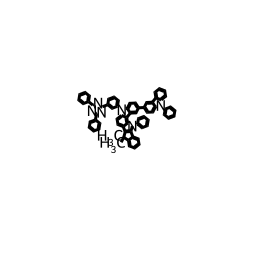 CC1(C)c2ccccc2-c2c1c1ccc3c(c4cc(-c5ccc6c(c5)c5ccccc5n6-c5ccccc5)ccc4n3-c3cccc(-c4nc(-c5ccccc5)nc(-c5ccccc5)n4)c3)c1n2-c1ccccc1